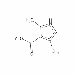 CC(=O)OC(=O)c1c(C)c[nH]c1C